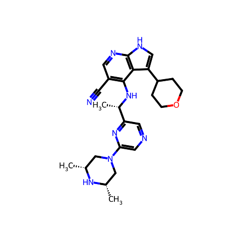 C[C@@H]1CN(c2cncc([C@H](C)Nc3c(C#N)cnc4[nH]cc(C5CCOCC5)c34)n2)C[C@H](C)N1